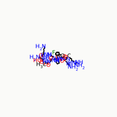 CC(NC(=O)[C@@H](NC(=O)C(N)CCCCN)[C@@H](O)CN)C(=O)NCC(=O)N[C@H](CCCN)C(=O)N1CCC[C@H]1C(=O)N[C@@H](Cc1ccc(F)cc1)C(=O)N[C@@H](CCCCN)C(=O)N/C(=C\CCNC(=N)N)C(=O)O